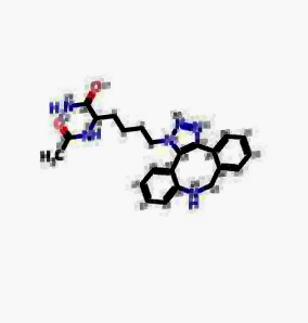 CC(=O)NC(CCCCn1nnc2c1-c1ccccc1NCc1ccccc1-2)C(N)=O